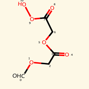 O=COCC(=O)OCC(=O)OO